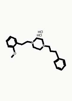 COc1ccccc1CCN1CCN(CCCc2ccccc2)CC1.Cl.Cl